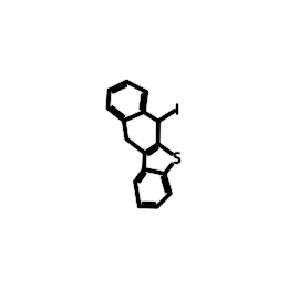 IC1c2ccccc2Cc2c1sc1ccccc21